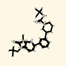 Cn1c(=O)n(CC(C)(C)C)c2ccc(-c3cccc(C4CCCN(C(=O)OC(C)(C)C)C4)c3)nc21